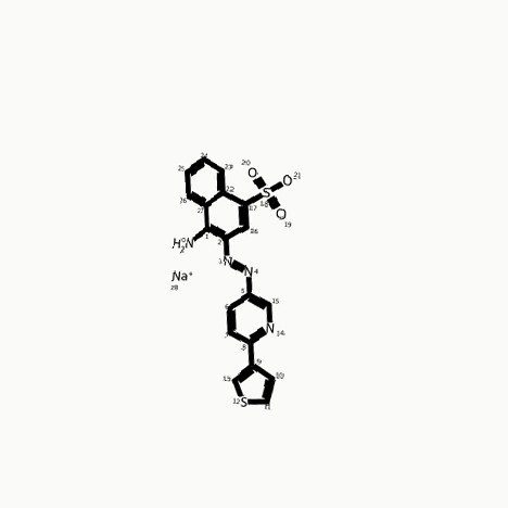 Nc1c(N=Nc2ccc(-c3ccsc3)nc2)cc(S(=O)(=O)[O-])c2ccccc12.[Na+]